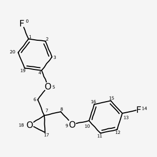 Fc1ccc(OCC2(COc3ccc(F)cc3)CO2)cc1